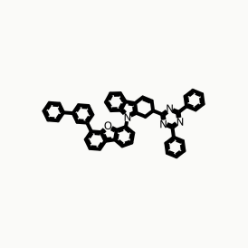 C1=CC(c2nc(-c3ccccc3)nc(-c3ccccc3)n2)Cc2c1c1ccccc1n2-c1cccc2c1oc1c(-c3cccc(-c4ccccc4)c3)cccc12